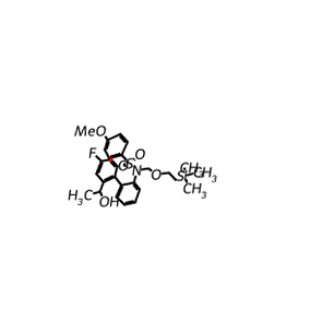 COc1ccc(S(=O)(=O)N(COCC[Si](C)(C)C)c2ccccc2-c2ccc(F)cc2C(C)O)cc1